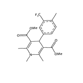 COC(=O)C1=C(C)N(C)C(C)=C(C(=O)OC)C1c1ccc(C)c(C(F)(F)F)c1